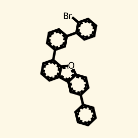 Brc1ccccc1-c1cccc(-c2cccc3c2oc2ccc(-c4ccccc4)cc23)c1